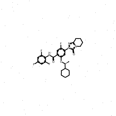 C[C@H](Oc1cc(-n2nc3n(c2=O)CCCC3)c(F)cc1C(=O)Nc1c(F)cc(F)cc1F)C1CCCCC1